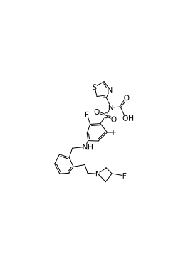 O=C(O)N(c1cscn1)S(=O)(=O)c1c(F)cc(NCc2ccccc2CCN2CC(F)C2)cc1F